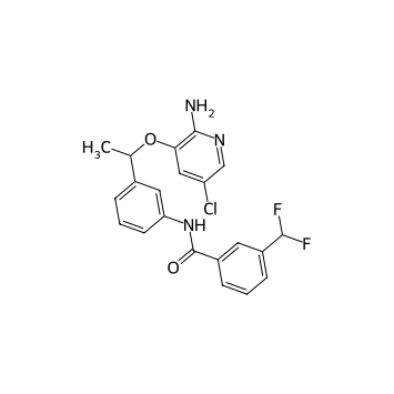 CC(Oc1cc(Cl)cnc1N)c1cccc(NC(=O)c2cccc(C(F)F)c2)c1